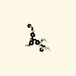 CCC(COc1ccc(Cc2c(-c3ccc(OCCN4CCCC4)cc3)sc3cc(O)ccc23)cc1OC)N1CCCC1